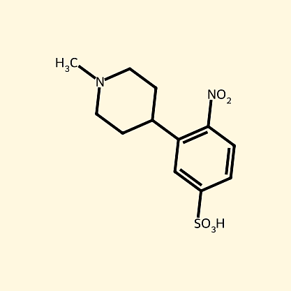 CN1CCC(c2cc(S(=O)(=O)O)ccc2[N+](=O)[O-])CC1